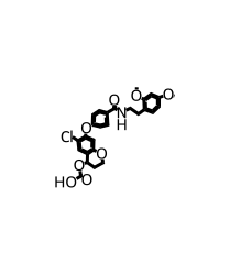 COc1ccc(CCNC(=O)c2ccc(Oc3cc4c(cc3Cl)C(OC(=O)O)CCO4)cc2)c(OC)c1